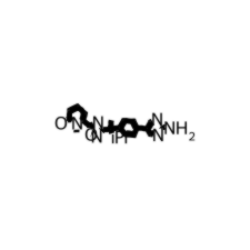 CC(C)C(C)(c1ccc(-c2cnc(N)nc2)cc1)c1noc(-c2cccc(=O)n2C)n1